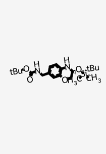 CC(C)(C)OC(=O)NCc1ccc2c(c1)OC[C@@H](O[Si](C)(C)C(C)(C)C)N2